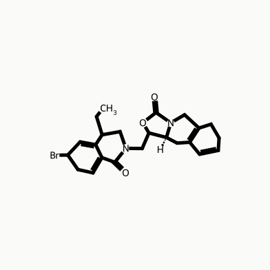 CCC1CN(CC2OC(=O)N3CC4=C(C=CCC4)C[C@@H]23)C(=O)C2=CCC(Br)C=C21